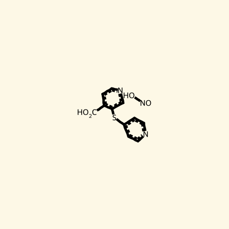 O=C(O)c1ccncc1Sc1ccncc1.O=NO